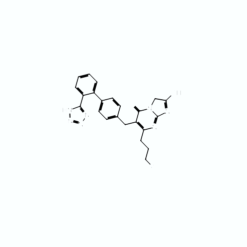 CCCCc1nc2n(c(=O)c1Cc1ccc(-c3ccccc3-c3nnn[nH]3)cc1)CC(C)=N2